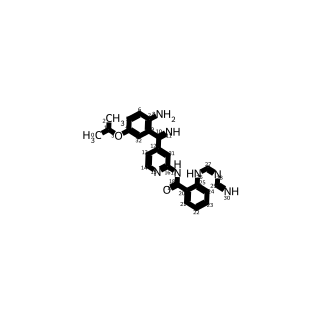 CC(C)Oc1ccc(N)c(C(=N)c2ccnc(NC(=O)c3ccccc3N/C=N\C=N)c2)c1